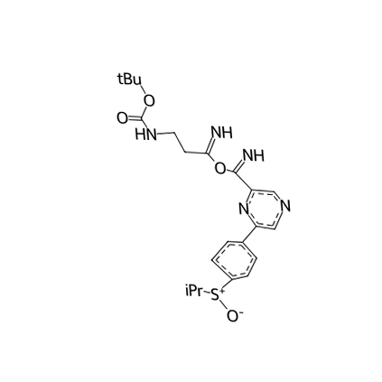 CC(C)[S+]([O-])c1ccc(-c2cncc(C(=N)OC(=N)CCNC(=O)OC(C)(C)C)n2)cc1